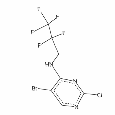 FC(F)(F)C(F)(F)CNc1nc(Cl)ncc1Br